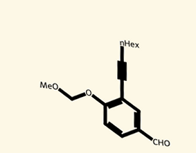 CCCCCCC#Cc1cc(C=O)ccc1OCOC